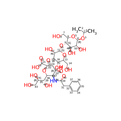 CC(C)O[C@@H]1OC(CO)[C@@H](O[C@@H]2OC(CO)[C@H](O)[C@H](O[C@]3(C(=O)O)C[C@@H](O)[C@@H](NC(=O)Cc4ccccc4)C([C@H](O)[C@H](O)CO)O3)C2O)[C@H](O)C1O